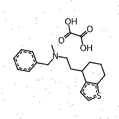 CN(CCC1CCCc2sccc21)Cc1ccccc1.O=C(O)C(=O)O